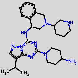 CC(C)c1cnn2c(NC3CN(C4CCCNC4)Cc4ccccc43)nc(N3CCC(N)CC3)nc12